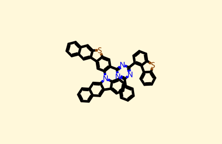 c1ccc(-c2nc(-c3cc4sc5cc6ccccc6cc5c4cc3-n3c4ccccc4c4cc5ccccc5cc43)nc(-c3cccc4sc5ccccc5c34)n2)cc1